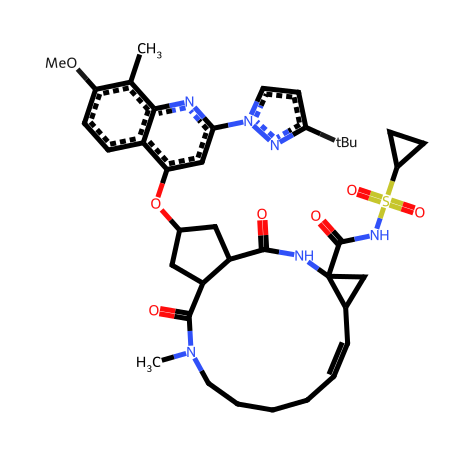 COc1ccc2c(OC3CC4C(=O)NC5(C(=O)NS(=O)(=O)C6CC6)CC5/C=C\CCCCN(C)C(=O)C4C3)cc(-n3ccc(C(C)(C)C)n3)nc2c1C